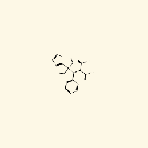 CCC(CC)(c1ccco1)C(c1ccccn1)C(C(=O)O)C(=O)O